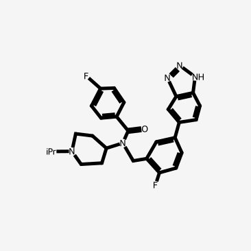 CC(C)N1CCC(N(Cc2cc(-c3ccc4[nH]nnc4c3)ccc2F)C(=O)c2ccc(F)cc2)CC1